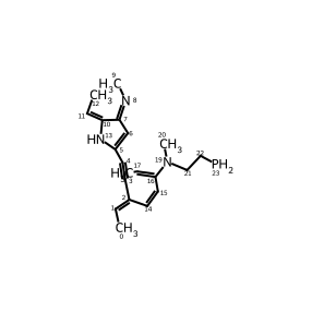 C\C=C(C#CC1=CC(=N/C)/C(=C\C)N1)/C=C\C(=C/C)N(C)CCP